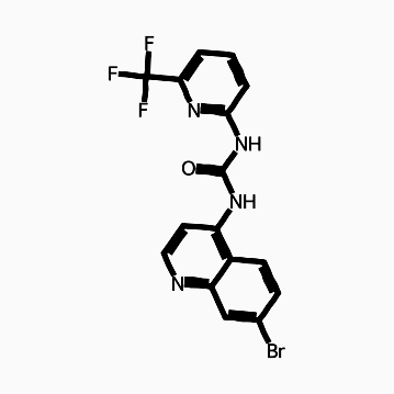 O=C(Nc1cccc(C(F)(F)F)n1)Nc1ccnc2cc(Br)ccc12